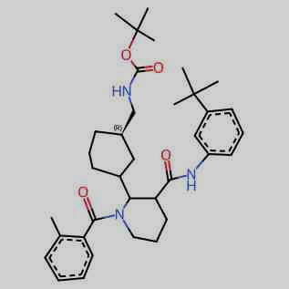 Cc1ccccc1C(=O)N1CCCC(C(=O)Nc2cccc(C(C)(C)C)c2)C1C1CCC[C@@H](CNC(=O)OC(C)(C)C)C1